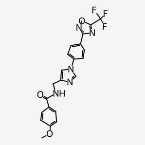 COc1ccc(C(=O)NCc2cn(-c3ccc(-c4noc(C(F)(F)F)n4)cc3)cn2)cc1